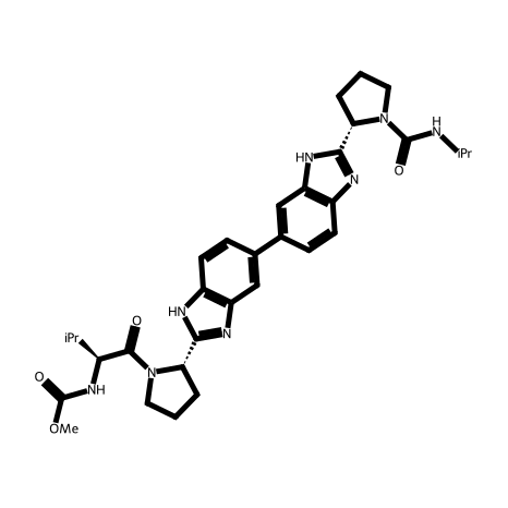 COC(=O)N[C@H](C(=O)N1CCC[C@H]1c1nc2cc(-c3ccc4nc([C@@H]5CCCN5C(=O)NC(C)C)[nH]c4c3)ccc2[nH]1)C(C)C